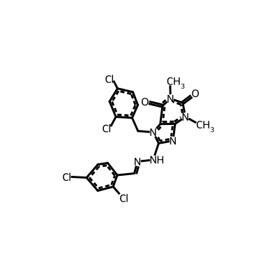 Cn1c(=O)c2c(nc(N/N=C/c3ccc(Cl)cc3Cl)n2Cc2ccc(Cl)cc2Cl)n(C)c1=O